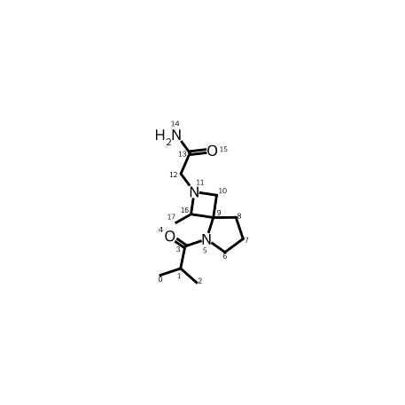 CC(C)C(=O)N1CCCC12CN(CC(N)=O)C2C